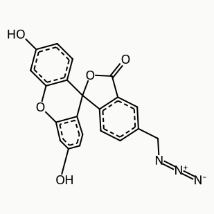 [N-]=[N+]=NCc1ccc2c(c1)C(=O)OC21c2ccc(O)cc2Oc2cc(O)ccc21